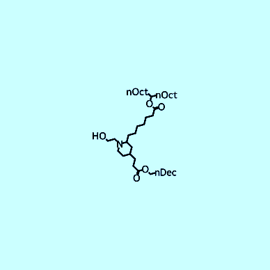 CCCCCCCCCCCOC(=O)CCC1CCN(CCO)C(CCCCCCC(=O)OC(CCCCCCCC)CCCCCCCC)C1